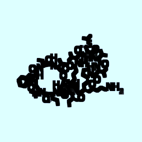 C/C=C1\NC(=O)[C@H](Cc2ccccc2)NC(=O)[C@@H](C(C)C)NC(=O)[C@@H]([C@@H](C)CC)NC(=O)[C@H](NC(=O)[C@H](NC(=O)[C@H](CCCCCN)CC(=O)[C@H]2CCCN2C(=O)[C@H](NC(=O)[C@@H](NC(=O)[C@@H](NC(=O)[C@H](NC(=O)CCCC(C)C)C(C)C)[C@H](C)SC(C)C)C(C)C)C(C)C)[C@@H](C)CC)[C@H](C)OC(=O)[C@H](C(C)C)NC1=O